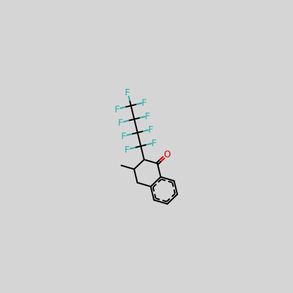 CC1Cc2ccccc2C(=O)C1C(F)(F)C(F)(F)C(F)(F)C(F)(F)F